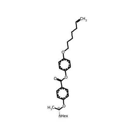 C=CCCCCCOc1ccc(OC(=O)c2ccc(O[C@@H](C)CCCCCC)cc2)cc1